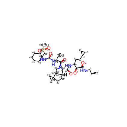 C=CCNC(=O)C(=O)C(CCC1CC1)NC(=O)[C@@H]1[C@H]2CCC3(CC3)[C@H]2CN1C(=O)[C@@H](NC(=O)NC1(CS(=O)(=O)C(C)(C)C)CCCCC1)C(C)(C)C